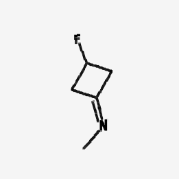 CN=C1CC(F)C1